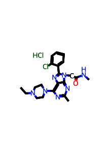 CCN1CCN(c2nc(C)nc3c2nc(-c2ccccc2Cl)n3CC(=O)NC)CC1.Cl